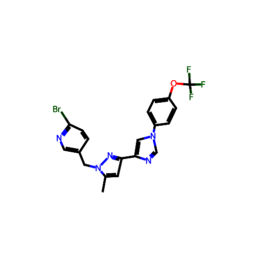 Cc1cc(-c2cn(-c3ccc(OC(F)(F)F)cc3)cn2)nn1Cc1ccc(Br)nc1